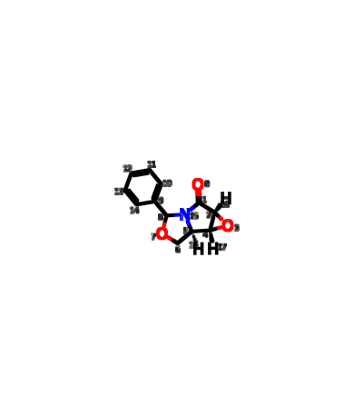 O=C1[C@@H]2O[C@@H]2[C@H]2COC(c3ccccc3)N12